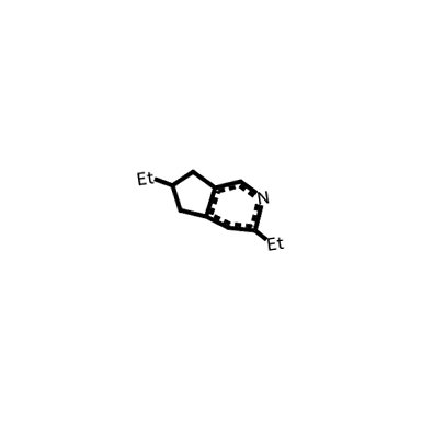 CCc1cc2c(cn1)CC(CC)C2